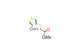 COC(=O)CSc1cscc1C=O